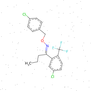 CCC/C(=N\OCc1ccc(Cl)cc1)c1cc(Cl)ccc1C(F)(F)F